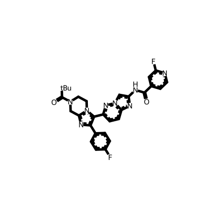 CC(C)(C)C(=O)N1CCn2c(nc(-c3ccc(F)cc3)c2-c2ccc3nc(NC(=O)c4ccnc(F)c4)cn3n2)C1